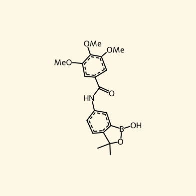 COc1cc(C(=O)Nc2ccc3c(c2)B(O)OC3(C)C)cc(OC)c1OC